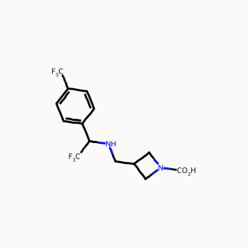 O=C(O)N1CC(CNC(c2ccc(C(F)(F)F)cc2)C(F)(F)F)C1